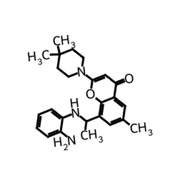 Cc1cc(C(C)Nc2ccccc2N)c2oc(N3CCC(C)(C)CC3)cc(=O)c2c1